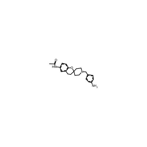 CC(=O)Nc1ccc2c(c1)CCC1(CCN(Cc3ccc(N)cc3)CC1)O2